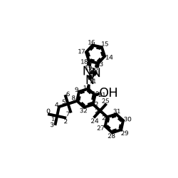 CC(C)(C)CC(C)(C)c1cc(-n2n3c4ccccc4n23)c(O)c(C(C)(C)c2ccccc2)c1